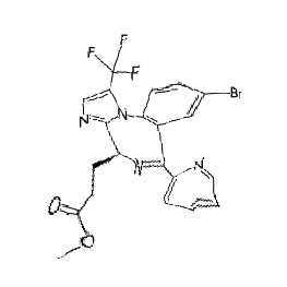 COC(=O)CC[C@@H]1N=C(c2ccccn2)c2cc(Br)ccc2-n2c(C(F)(F)F)cnc21